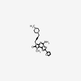 CN1CCN(CC#CCn2c(=O)n(C)c3c2nc(N)n2nc(-c4ccco4)nc32)CC1